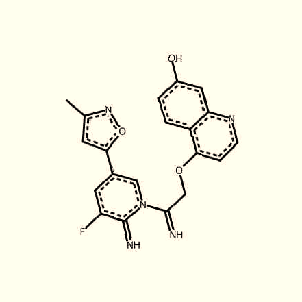 Cc1cc(-c2cc(F)c(=N)n(C(=N)COc3ccnc4cc(O)ccc34)c2)on1